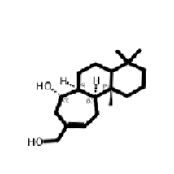 CC1(C)CCC[C@@]2(C)C1CC[C@@H]1[C@@H](O)CC(CO)=CC[C@@H]12